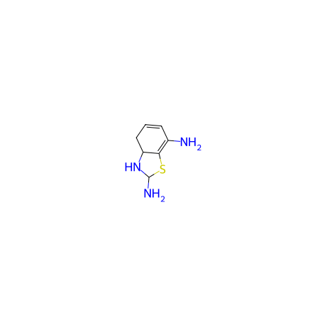 NC1=C2SC(N)NC2CC=C1